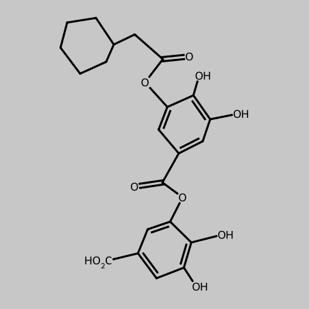 O=C(CC1CCCCC1)Oc1cc(C(=O)Oc2cc(C(=O)O)cc(O)c2O)cc(O)c1O